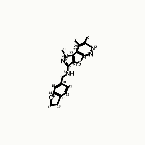 Cc1nnc2sc3c(NCc4ccc5c(c4)OCC5)nn(C)c3c2c1C